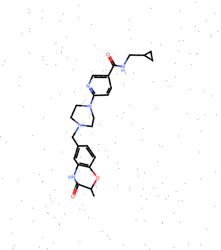 CC1Oc2ccc(CN3CCN(c4ccc(C(=O)NCC5CC5)cn4)CC3)cc2NC1=O